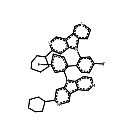 Fc1ccc(-c2ccc(F)cc2-n2c3ccncc3c3cnc(C4CCCCC4)cc32)c(-n2c3ccncc3c3cnc(C4CCCCC4)cc32)c1